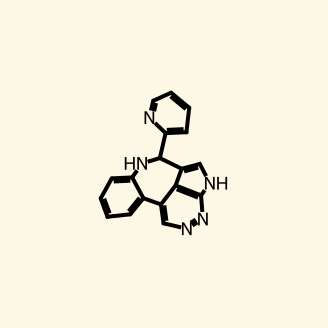 c1ccc(C2Nc3ccccc3-c3cnnc4[nH]cc2c34)nc1